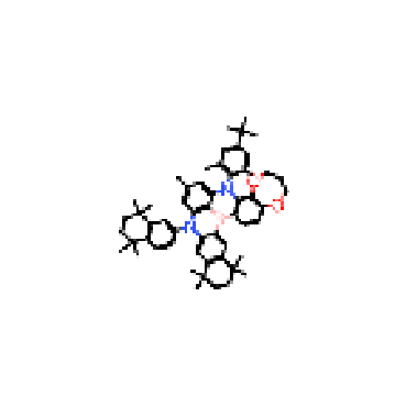 Cc1cc2c3c(c1)N(c1c(C)cc(C(C)(C)C)cc1C)c1c(ccc4c1OCCCO4)B3c1cc3c(cc1N2c1ccc2c(c1)C(C)(C)CCC2(C)C)C(C)(C)CCC3(C)C